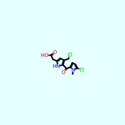 Cn1c(Cl)ccc1C(=O)c1[nH]c(CC(=O)O)cc1CCl